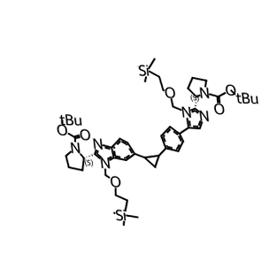 CC(C)(C)OC(=O)N1CCC[C@H]1c1ncc(-c2ccc(C3CC3c3ccc4nc([C@@H]5CCCN5C(=O)OC(C)(C)C)n(COCC[Si](C)(C)C)c4c3)cc2)n1COCC[Si](C)(C)C